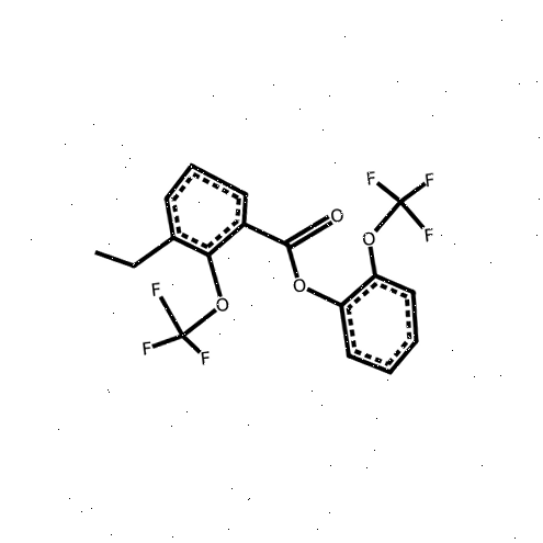 CCc1cccc(C(=O)Oc2ccccc2OC(F)(F)F)c1OC(F)(F)F